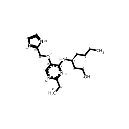 CCCC[C@@H](CCO)Nc1nc(CC)ncc1OCC1=NC=C=N1